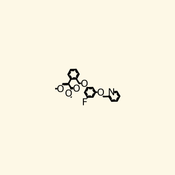 COC=C(C(=O)OC)c1ccccc1COc1cc(F)cc(OCc2ccccn2)c1